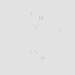 CCc1cc2c(C(=O)NC)c(-c3ccc(F)cc3)oc2nc1NC